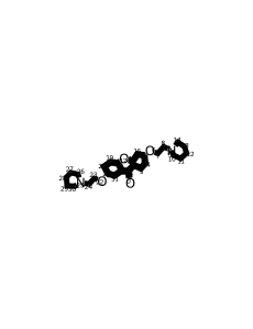 O=c1c2ccc(OCCN3CCCCC3)cc2oc2ccc(OCCN3CCCCC3)cc12